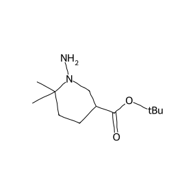 CC(C)(C)OC(=O)C1CCC(C)(C)N(N)C1